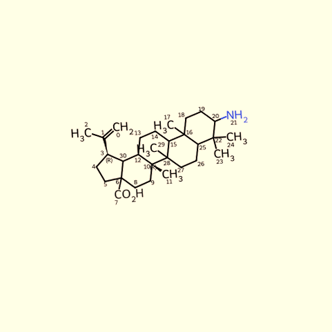 C=C(C)[C@@H]1CCC2(C(=O)O)CC[C@]3(C)C(CCC4C5(C)CCC(N)C(C)(C)C5CCC43C)C12